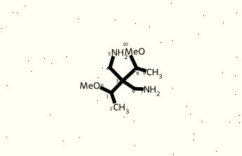 COC(C)C(CN)(CN)C(C)OC